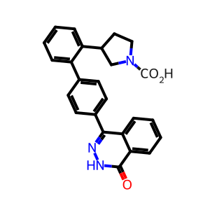 O=C(O)N1CCC(c2ccccc2-c2ccc(-c3n[nH]c(=O)c4ccccc34)cc2)C1